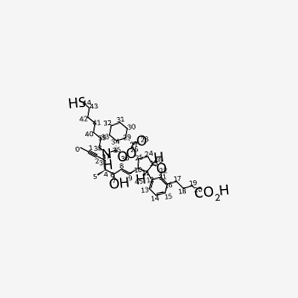 CC#CC[C@H](C)[C@H](O)/C=C/[C@@H]1[C@H]2c3cccc(CCCC(=O)O)c3O[C@H]2C[C@H]1OC(=O)[C@H]1CCCC[C@H]1C(=O)NCCCCCCS